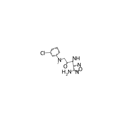 CN(CC(=O)C(=N)c1nonc1N)c1cccc(Cl)c1